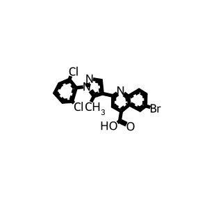 Cc1c(-c2cc(C(=O)O)c3cc(Br)ccc3n2)cnn1-c1c(Cl)cccc1Cl